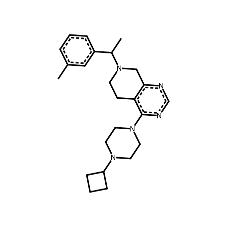 Cc1cccc(C(C)N2CCc3c(ncnc3N3CCN(C4CCC4)CC3)C2)c1